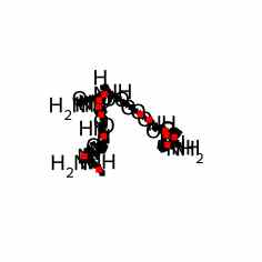 CCCCCNc1nc(N)nc2ccn(Cc3ccc(CN4CC(NC(=O)OCc5ccc(NC(=O)[C@H](CCCNC(N)=O)NC(=O)[C@@H](NC(=O)CCOCCOCCOCCOCCNC(=O)CCC(=O)N6Cc7ccccc7/C(N)=C(/N=N)c7ccccc76)C(C)C)cc5)C4)cc3OC)c12